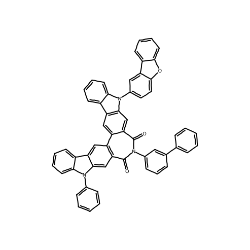 O=c1c2cc3c(cc2c2cc4c5ccccc5n(-c5ccc6oc7ccccc7c6c5)c4cc2c(=O)n1-c1cccc(-c2ccccc2)c1)c1ccccc1n3-c1ccccc1